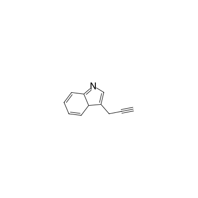 C#CCC1=CN=C2C=CC=CC12